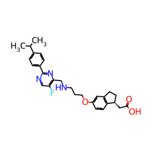 CC(C)c1ccc(-c2ncc(F)c(CNCCCOc3ccc4c(c3)CC[C@H]4CC(=O)O)n2)cc1